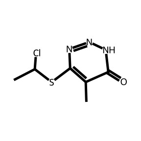 Cc1c(SC(C)Cl)nn[nH]c1=O